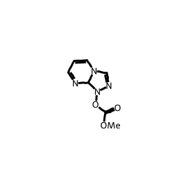 COC(=O)ON1N=CN2C=CC=NC21